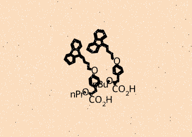 CCCCOC(Cc1ccc(OCCCC=C2c3ccccc3-c3ccccc32)cc1)C(=O)O.CCCOC(Cc1ccc(OCCCC=C2c3ccccc3-c3ccccc32)cc1)C(=O)O